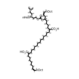 CCCCCCCC/C=C\CCCCCCC(CCCCCCCCCCCCCC(CCCCC(C/C=C\CCCCCCCC)OC(=O)OCCN(CCCCCC)CCN(C)C)C(=O)O)C(=O)O